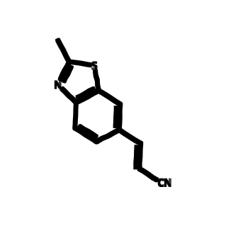 Cc1nc2ccc(/C=C/C#N)cc2s1